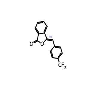 O=C1O/C(=C\c2ccc(C(F)(F)F)cc2)c2ccccc21